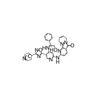 O=c1c2ccc(Nc3cc(N[C@H](CO)c4ccccc4)c(-c4nc(C56CCN(CC5)CC6)no4)cn3)nc2n2n1CC=CC2